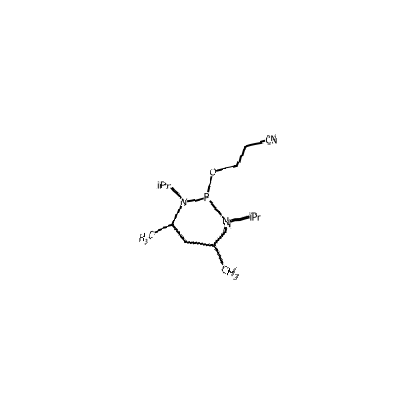 CC(C)N1C(C)CC(C)N(C(C)C)P1OCCC#N